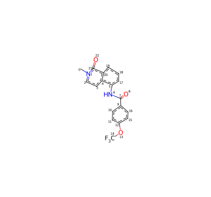 Cn1ccc2c(NC(=O)c3ccc(OC(F)(F)F)cc3)cccc2c1=O